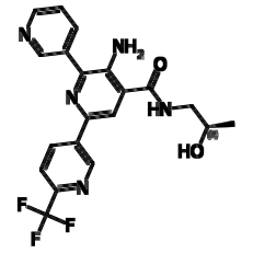 C[C@@H](O)CNC(=O)c1cc(-c2ccc(C(F)(F)F)nc2)nc(-c2cccnc2)c1N